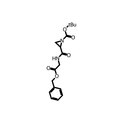 CC(C)(C)OC(=O)N1CC1C(=O)NCC(=O)OCc1ccccc1